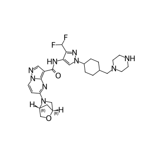 O=C(Nc1cn(C2CCC(CN3CCNCC3)CC2)nc1C(F)F)c1cnn2ccc(N3C[C@H]4C[C@@H]3CO4)nc12